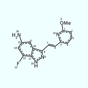 COc1cccc(C=Cc2n[nH]c3c(F)cc(N)cc23)n1